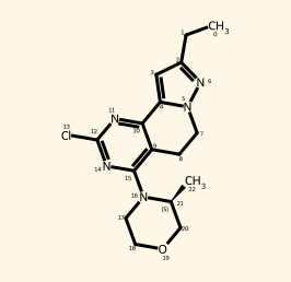 CCc1cc2n(n1)CCc1c-2nc(Cl)nc1N1CCOC[C@@H]1C